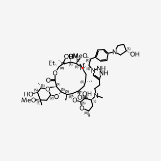 CC[C@H]1OC(=O)[C@H](C)[C@@H](O[C@H]2C[C@@](C)(OC)[C@@H](O)[C@H](C)O2)[C@H](C)[C@@H](O[C@@H]2O[C@H](C)C[C@H](N(C)CCC3=CN([C@H](CF)[C@H](OC)c4ccc(N5CC[C@H](O)C5)cc4)NN3)[C@H]2O)[C@](C)(O)C[C@@H](C)CN(C)[C@H](C)[C@@H](O)[C@]1(C)O